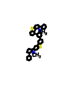 Cn1c2cc3sc4ccc(-c5cccc(-c6cccc7sc8ccc9c%10ccccc%10n(C)c9c8c67)c5)cc4c3cc2c2cccc(-c3ccccc3)c21